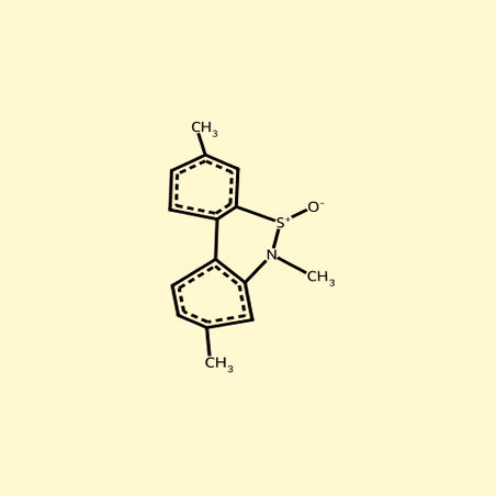 Cc1ccc2c(c1)N(C)[S+]([O-])c1cc(C)ccc1-2